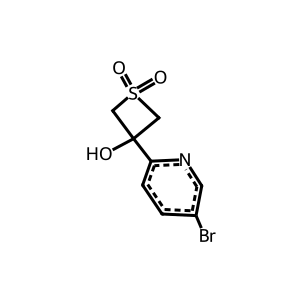 O=S1(=O)CC(O)(c2ccc(Br)cn2)C1